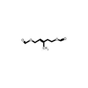 C/C(=C\COC=O)CCOC=O